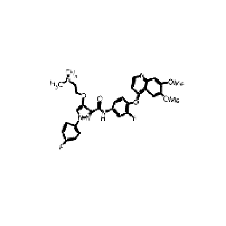 COc1cc2nccc(Oc3ccc(NC(=O)c4nn(-c5ccc(F)cc5)cc4OCCN(C)C)cc3F)c2cc1OC